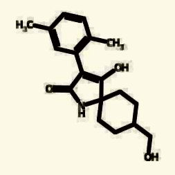 Cc1ccc(C)c(C2=C(O)C3(CCC(CO)CC3)NC2=O)c1